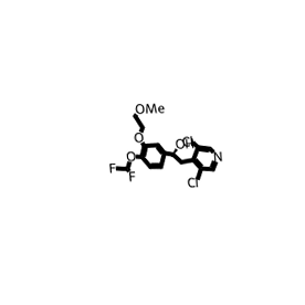 COCCOc1cc([C@@H](O)Cc2c(Cl)cncc2Cl)ccc1OC(F)F